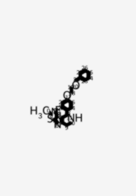 Cc1nn2c3c(nc2s1)CCNC3c1ccc(OCCOCc2ccccc2)cc1F